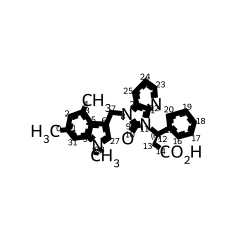 Cc1cc(C)c2c(Cn3c(=O)n([C@H](CC(=O)O)c4ccccc4)c4ncccc43)cn(C)c2c1